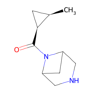 C[C@@H]1C[C@@H]1C(=O)N1C2CNCC1C2